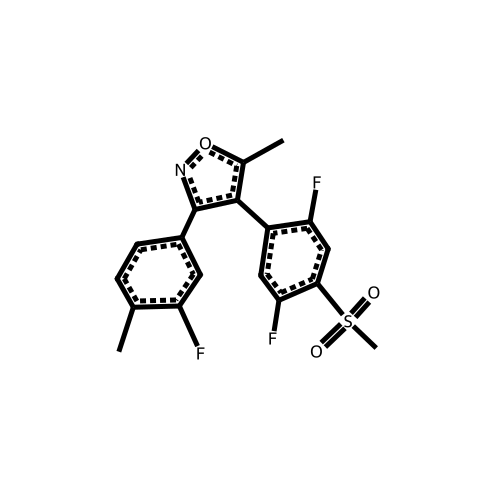 Cc1ccc(-c2noc(C)c2-c2cc(F)c(S(C)(=O)=O)cc2F)cc1F